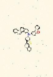 c1ccc2c(c1)ccc1c3cc(N(c4ccc5c(c4)sc4c6ccccc6ccc54)c4ccc5oc6ccccc6c5c4)ccc3ccc21